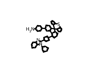 Nc1ccc(-c2ccc3c(c2)-c2c(-c4ccc(-c5nc6ccccc6n5-c5ccccc5)cc4)cccc2C32c3ccccc3Sc3ccccc32)cc1